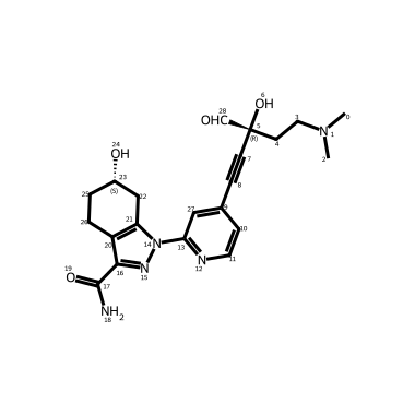 CN(C)CC[C@@](O)(C#Cc1ccnc(-n2nc(C(N)=O)c3c2C[C@@H](O)CC3)c1)C=O